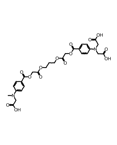 CN(CC(=O)O)c1ccc(C(=O)OCC(=O)OCCCOC(=O)COC(=O)c2ccc(N(CC(=O)O)CC(=O)O)cc2)cc1